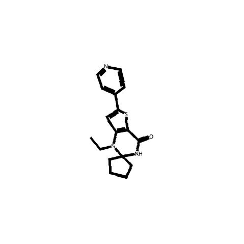 CCN1c2cc(-c3ccncc3)sc2C(=O)NC12CCCC2